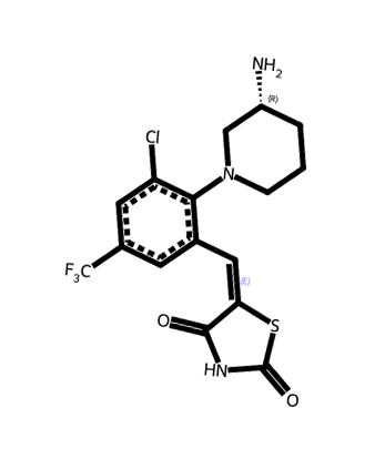 N[C@@H]1CCCN(c2c(Cl)cc(C(F)(F)F)cc2/C=C2/SC(=O)NC2=O)C1